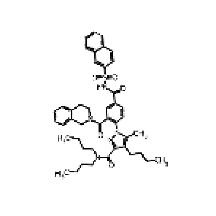 CCCCc1c(C(=O)N(CCCC)CCCC)nn(-c2ccc(C(=O)NS(=O)(=O)c3ccc4ccccc4c3)cc2C(=O)N2CCc3ccccc3C2)c1C